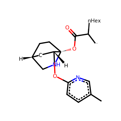 [CH2]C(CCCCCC)C(=O)O[C@]12CC[C@@H](CN1)C[C@H]2Oc1ccc(C)cn1